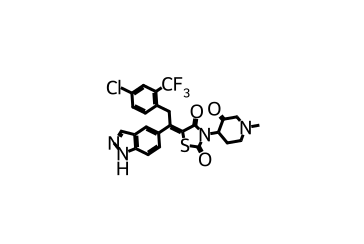 CN1CCC(N2C(=O)S/C(=C(/Cc3ccc(Cl)cc3C(F)(F)F)c3ccc4[nH]ncc4c3)C2=O)C(=O)C1